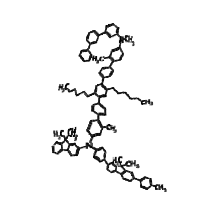 CCCCCCc1cc(-c2ccc(-c3ccc(N(c4ccc(-c5ccc6c(c5)C(C)(C)c5cc(-c7ccc(C)cc7)ccc5-6)cc4)c4ccc5c(c4)C(C)(C)c4ccccc4-5)cc3C)cc2)c(CCCCCC)cc1-c1ccc(-c2ccc(N(C)c3cccc(-c4cccc(-c5ccccc5)c4)c3)cc2C)cc1